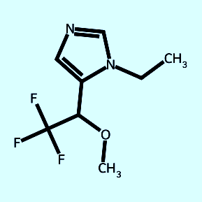 CCn1cncc1C(OC)C(F)(F)F